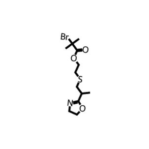 CC(CSCCOC(=O)C(C)(C)Br)C1=NCCO1